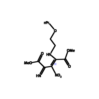 CCCOCCN/C(C(=O)OC)=C(\C(=N)C(=O)OC)[N+](=O)[O-]